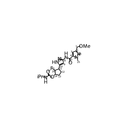 COCc1cc(C(=O)Nc2cc(C3CCC(OC(=O)NC(C)C)C3F)[nH]n2)n(C)n1